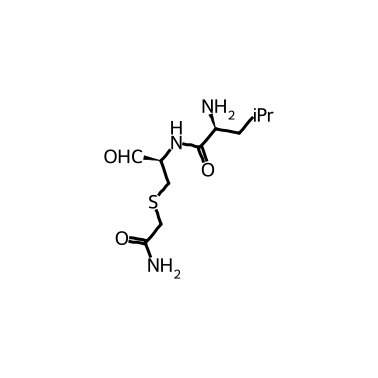 CC(C)C[C@H](N)C(=O)N[C@H](C=O)CSCC(N)=O